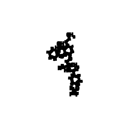 CCCc1ccc(OCC(C)(C#N)NC(=O)c2ccc(OC(F)(F)F)cc2)c(Oc2ccccc2)c1BO